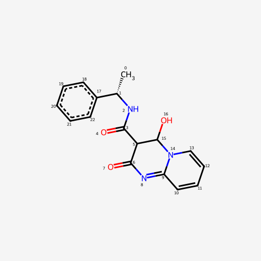 C[C@H](NC(=O)C1C(=O)N=C2C=CC=CN2C1O)c1ccccc1